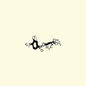 C[N+](C)(C)CCO[PH](=O)c1ccc([N+](=O)[O-])c(C(F)(F)F)c1